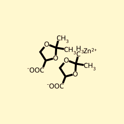 CC1(C)OCC(C(=O)[O-])O1.CC1(C)OCC(C(=O)[O-])O1.[Zn+2]